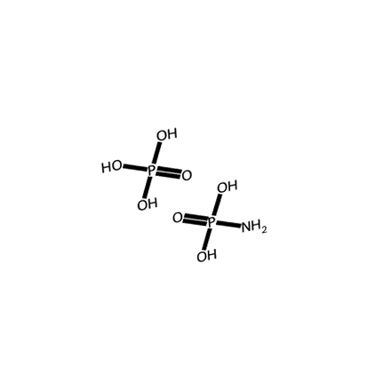 NP(=O)(O)O.O=P(O)(O)O